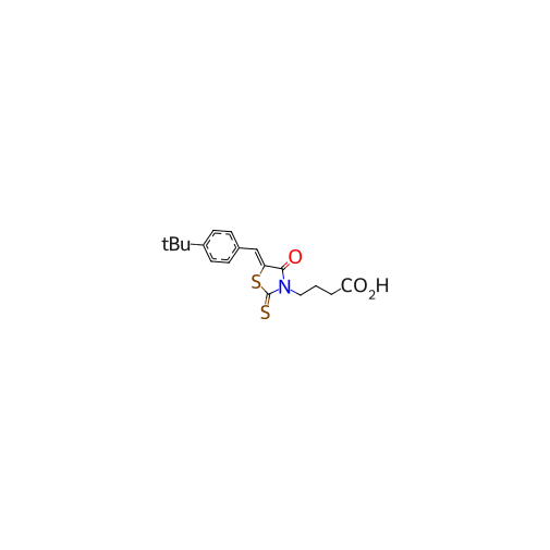 CC(C)(C)c1ccc(/C=C2\SC(=S)N(CCCC(=O)O)C2=O)cc1